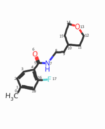 Cc1ccc(C(=O)NCCC2CCOCC2)c(F)c1